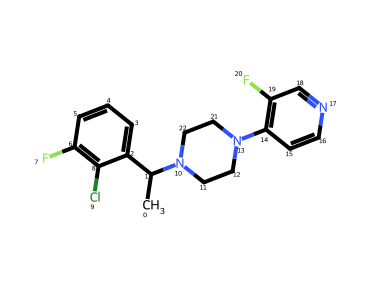 CC(c1cccc(F)c1Cl)N1CCN(c2ccncc2F)CC1